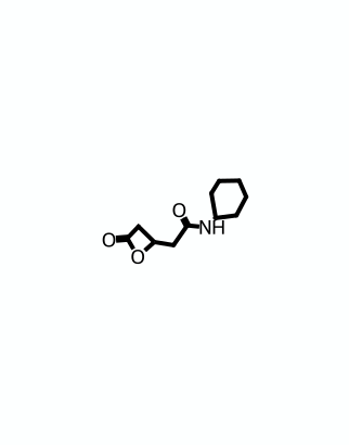 O=C(CC1CC(=O)O1)NC1CCCCC1